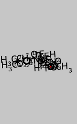 CC(C)(C)Oc1ccc(C(=O)NS(=O)(=O)C(F)(F)C(F)(F)C(F)(F)S(=O)(=O)NS(C)(=O)=O)cc1